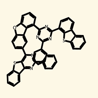 c1ccc(-c2nc(-c3cccc4c3sc3ccccc34)nc(-c3cccc4oc5ccc(-c6nc(-c7ccccc7)nc7c6sc6ccccc67)cc5c34)n2)cc1